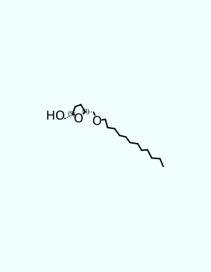 CCCCCCCCCCCCOC[C@H]1CC[C@@H](CO)O1